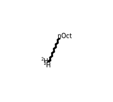 [2H]C([2H])=CCCCCCCCCCCCCCCCCCC